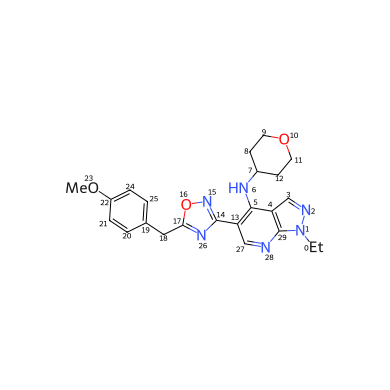 CCn1ncc2c(NC3CCOCC3)c(-c3noc(Cc4ccc(OC)cc4)n3)cnc21